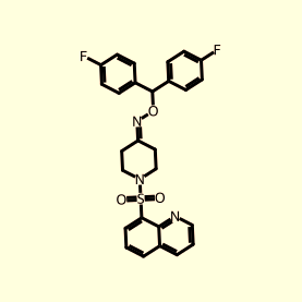 O=S(=O)(c1cccc2cccnc12)N1CCC(=NOC(c2ccc(F)cc2)c2ccc(F)cc2)CC1